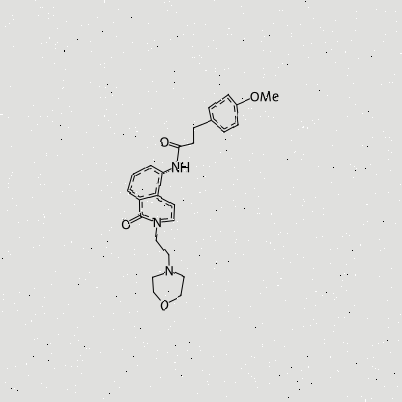 COc1ccc(CCC(=O)Nc2cccc3c(=O)n(CCN4CCOCC4)ccc23)cc1